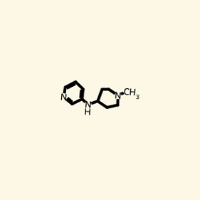 CN1CCC(Nc2cccnc2)CC1